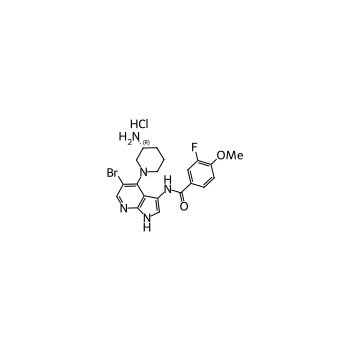 COc1ccc(C(=O)Nc2c[nH]c3ncc(Br)c(N4CCC[C@@H](N)C4)c23)cc1F.Cl